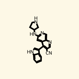 N#Cc1cnc2cnc(NC3CCNC3)cc2c1-c1c[nH]c2ccccc12